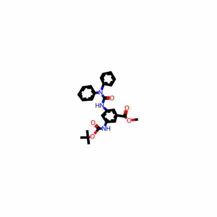 COC(=O)c1cc(NC(=O)OC(C)(C)C)cc(NC(=O)N(c2ccccc2)c2ccccc2)c1